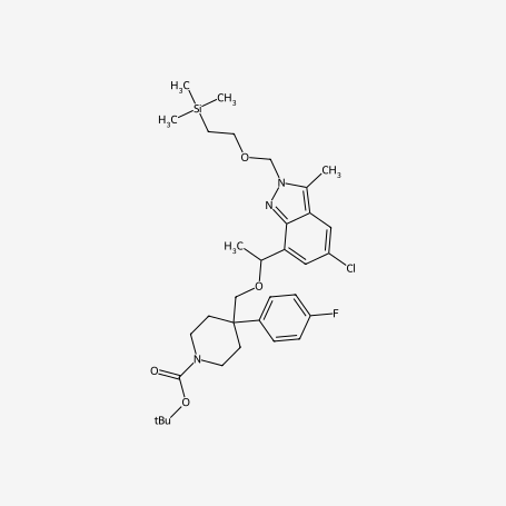 Cc1c2cc(Cl)cc(C(C)OCC3(c4ccc(F)cc4)CCN(C(=O)OC(C)(C)C)CC3)c2nn1COCC[Si](C)(C)C